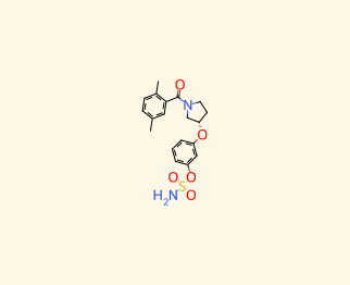 Cc1ccc(C)c(C(=O)N2CC[C@H](Oc3cccc(OS(N)(=O)=O)c3)C2)c1